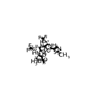 Cc1ncc(C(=O)N[C@@H](COC(F)F)C(=O)N[C@@H](COC(F)F)C(=O)N[C@@H](CC(C)C)C(=O)[C@]2(C)CO2)s1